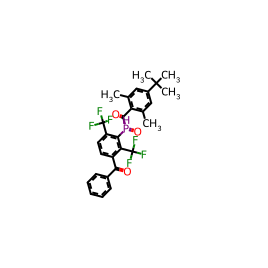 Cc1cc(C(C)(C)C)cc(C)c1C(=O)[PH](=O)c1c(C(F)(F)F)ccc(C(=O)c2ccccc2)c1C(F)(F)F